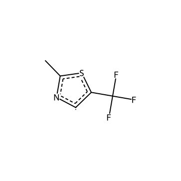 Cc1n[c]c(C(F)(F)F)s1